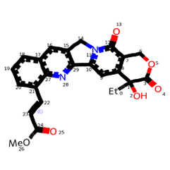 CCC1(O)C(=O)OCc2c1cc1n(c2=O)Cc2cc3cccc(/C=C/C(=O)OC)c3nc2-1